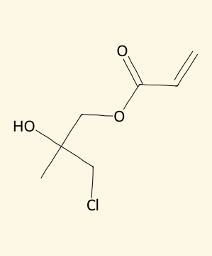 C=CC(=O)OCC(C)(O)CCl